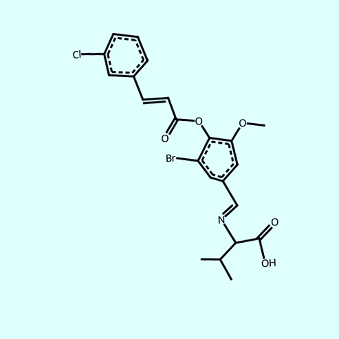 COc1cc(/C=N/C(C(=O)O)C(C)C)cc(Br)c1OC(=O)/C=C/c1cccc(Cl)c1